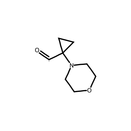 O=[C]C1(N2CCOCC2)CC1